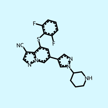 N#Cc1cnn2cc(-c3cnn(C4CCCNC4)c3)cc(Sc3c(F)cccc3F)c12